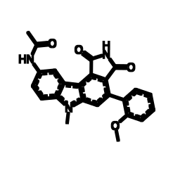 COc1ccccc1-c1cc2c(c3c1C(=O)NC3=O)c1cc(NC(C)=O)ccc1n2C